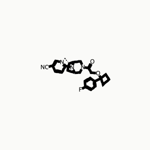 C[C@H]1CC2CN(C(=O)COC3(c4ccc(F)cc4)CCC3)CC1N2c1ccc(C#N)cn1